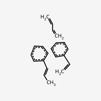 C=CC=C.C=Cc1ccccc1.CC=Cc1ccccc1